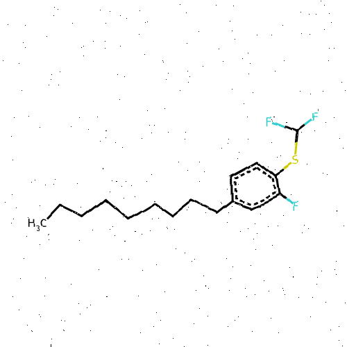 CCCCC[CH]CCCc1ccc(SC(F)F)c(F)c1